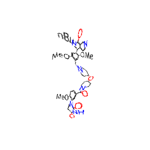 CCCCn1cc(-c2cc(OC)c(CN3CCC(OC4CCN(C(=O)c5ccc(OC)c(-n6ccc(=O)[nH]c6=O)c5)CC4)CC3)cc2OC)c2ccncc2c1=O